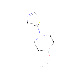 CCCOC1CCN(c2cncs2)CC1